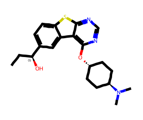 CC[C@H](O)c1ccc2sc3ncnc(O[C@H]4CC[C@H](N(C)C)CC4)c3c2c1